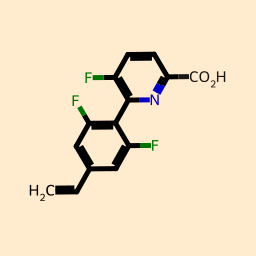 C=Cc1cc(F)c(-c2nc(C(=O)O)ccc2F)c(F)c1